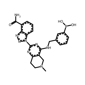 CN1CCc2nc(-n3nnc4c(C(N)=O)cccc43)nc(NCc3cccc(B(O)O)c3)c2C1